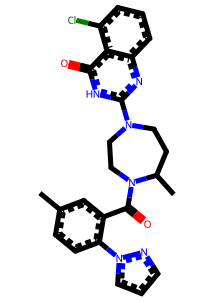 Cc1ccc(-n2cccn2)c(C(=O)N2CCN(c3nc4cccc(Cl)c4c(=O)[nH]3)CCC2C)c1